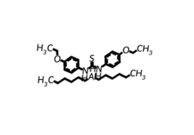 CCCCC[CH2][AlH][CH2]CCCCC.CCOc1ccc(NC(=S)Nc2ccc(OCC)cc2)cc1